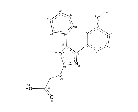 COc1cccc(-c2nc(SCC(=O)O)oc2-c2ccccc2)c1